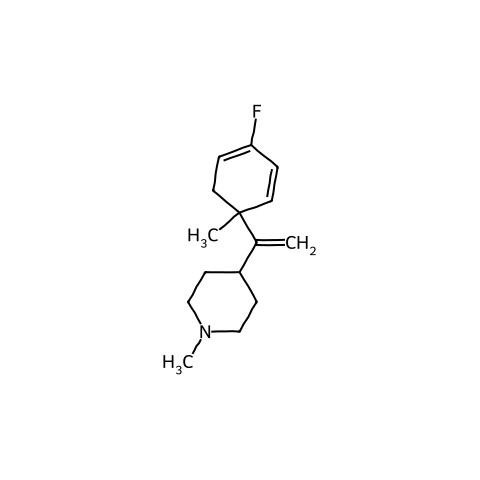 C=C(C1CCN(C)CC1)C1(C)C=CC(F)=CC1